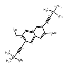 CSc1cc2cc(C#C[Si](C)(C)C)c(CS)cc2cc1C#C[Si](C)(C)C